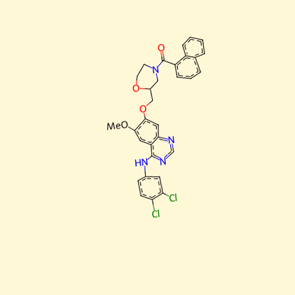 COc1cc2c(Nc3ccc(Cl)c(Cl)c3)ncnc2cc1OCC1CN(C(=O)c2cccc3ccccc23)CCO1